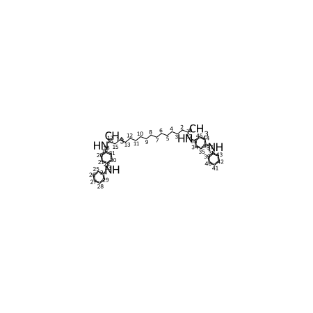 CC(CCCCCCCCCCCCCCC(C)Nc1ccc(Nc2ccccc2)cc1)Nc1ccc(Nc2ccccc2)cc1